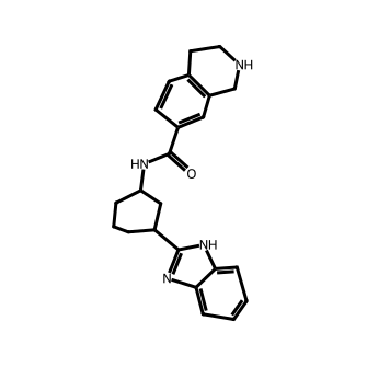 O=C(NC1CCCC(c2nc3ccccc3[nH]2)C1)c1ccc2c(c1)CNCC2